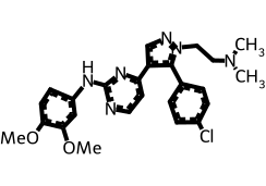 COc1ccc(Nc2nccc(-c3cnn(CCN(C)C)c3-c3ccc(Cl)cc3)n2)cc1OC